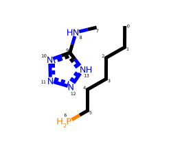 CCCCCCP.CNc1nnn[nH]1